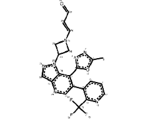 Cc1nnc(-c2c(-c3cccnc3C(F)(F)F)cnc3cnn(C4CN(C=CC=O)C4)c23)o1